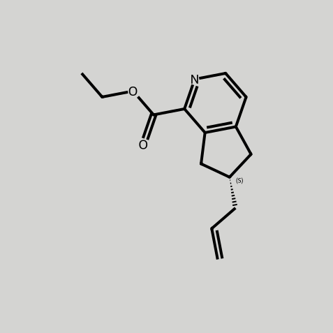 C=CC[C@H]1Cc2ccnc(C(=O)OCC)c2C1